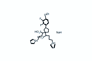 CCOc1ccc(C2CCC(C(CCC[SH]3C=CC=C3)S(=O)(=O)O)(C(CCC[SH]3C=CC=C3)S(=O)(=O)O)C2)c(F)c1F.[NaH]